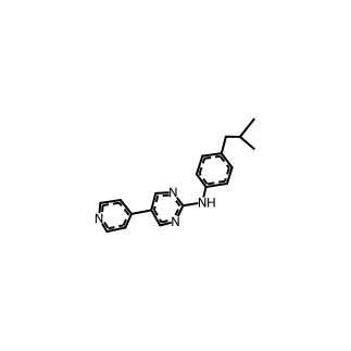 CC(C)Cc1ccc(Nc2ncc(-c3ccncc3)cn2)cc1